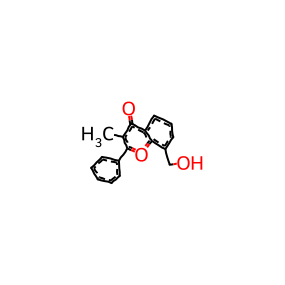 Cc1c(-c2ccccc2)oc2c(CO)cccc2c1=O